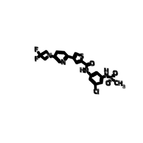 CS(=O)(=O)Nc1cc(Cl)cc(NC(=O)c2cc(-c3ccc(N4CC(F)(F)C4)cn3)cs2)c1